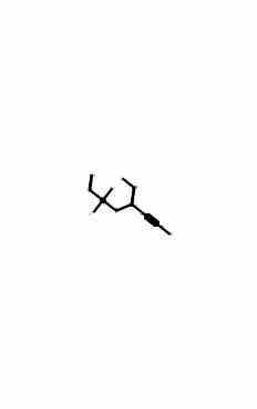 [CH2]C#CC(CC)CC(C)(C)C[CH2]